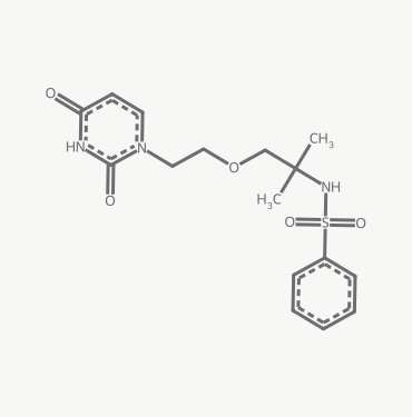 CC(C)(COCCn1ccc(=O)[nH]c1=O)NS(=O)(=O)c1ccccc1